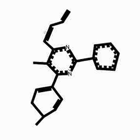 C=C/C=C\c1nc(-c2ccccc2)nc(C2=CCC(C)C=C2)c1C